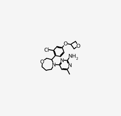 Cc1cc(N2CCCOCC2c2ccc(OC3COC3)cc2Cl)nc(N)n1